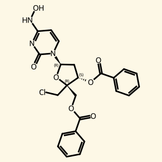 O=C(OC[C@@]1(CCl)O[C@@H](n2ccc(NO)nc2=O)C[C@@H]1OC(=O)c1ccccc1)c1ccccc1